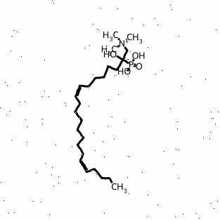 CCCC/C=C\CCCCCCC/C=C\CCCCCC(O)(C[N+](C)(C)C)P(=O)(O)O